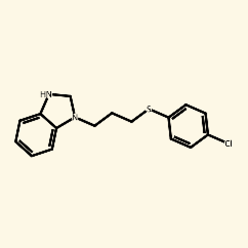 Clc1ccc(SCCCN2CNc3ccccc32)cc1